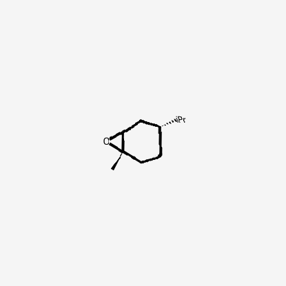 CC(C)[C@@H]1CC[C@]2(C)OC2C1